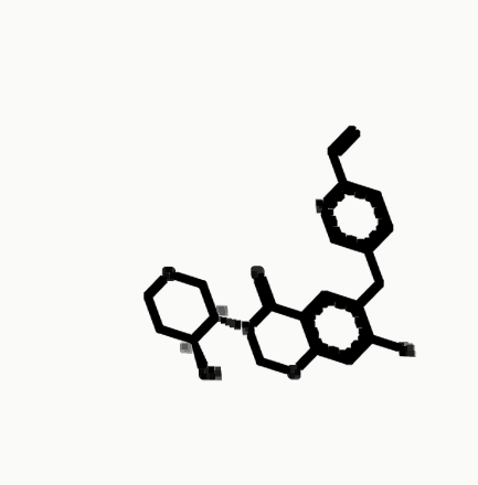 C=Cc1ccc(Cc2cc3c(cc2CC)OCN([C@H]2COCC[C@@H]2O)C3=O)cn1